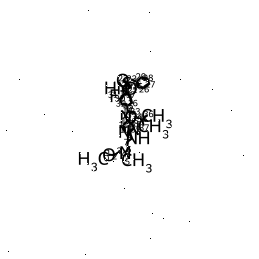 COCCN(C)CCNc1ncc2nc(-c3ccc(NS(=O)(=O)Cc4ccccc4)c(F)c3)cc(C(C)C)c2n1